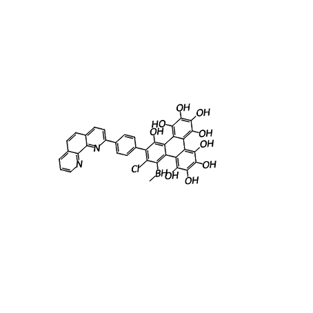 CBc1c(Cl)c(-c2ccc(-c3ccc4ccc5cccnc5c4n3)cc2)c(O)c2c3c(O)c(O)c(O)c(O)c3c3c(O)c(O)c(O)c(O)c3c12